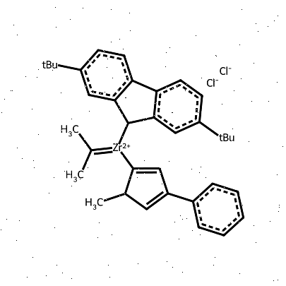 C[C](C)=[Zr+2]([C]1=CC(c2ccccc2)=CC1C)[CH]1c2cc(C(C)(C)C)ccc2-c2ccc(C(C)(C)C)cc21.[Cl-].[Cl-]